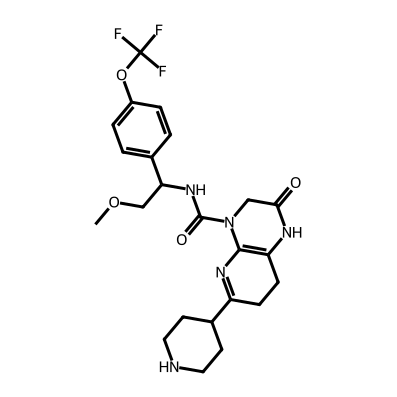 COCC(NC(=O)N1CC(=O)NC2=C1N=C(C1CCNCC1)CC2)c1ccc(OC(F)(F)F)cc1